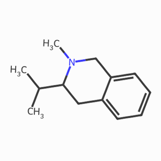 CC(C)C1Cc2ccccc2CN1C